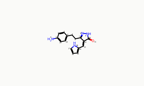 Nc1ccc(CCC2=NNC(=O)C2=Cc2ccc[nH]2)cc1